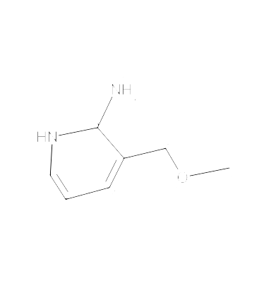 COCC1=CC=CN[C]1N